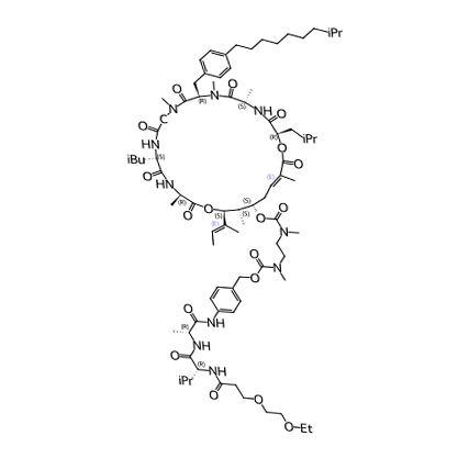 C/C=C(\C)[C@H]1OC(=O)[C@@H](C)NC(=O)[C@H](C(C)CC)NC(=O)CN(C)C(=O)[C@@H](Cc2ccc(CCCCCCCC(C)C)cc2)N(C)C(=O)[C@H](C)NC(=O)[C@@H](CC(C)C)OC(=O)/C(C)=C/C[C@H](OC(=O)N(C)CCN(C)C(=O)OCc2ccc(NC(=O)[C@@H](C)NC(=O)[C@H](NC(=O)CCOCCOCC)C(C)C)cc2)[C@@H]1C